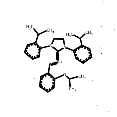 CC(C)Oc1ccccc1[CH]=[Ru]=[C]1N(c2ccccc2C(C)C)CCN1c1ccccc1C(C)C